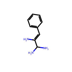 NC(=Cc1ccccc1)C(N)N